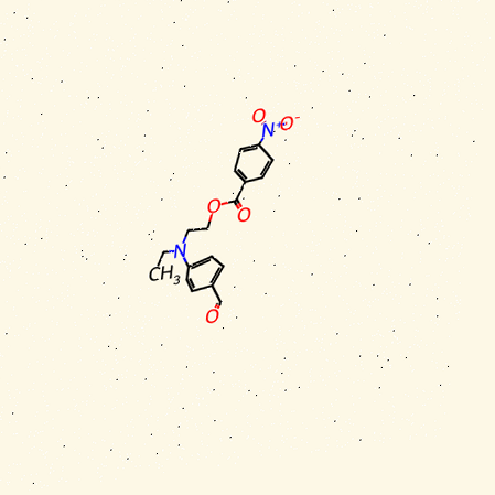 CCN(CCOC(=O)c1ccc([N+](=O)[O-])cc1)c1ccc(C=O)cc1